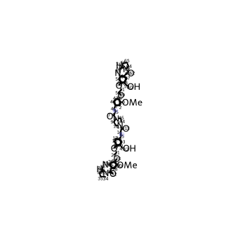 COc1cc(/C=C/C(=O)N2CCN(C(=O)/C=C/c3ccc(OCCOc4cc5c(cc4OC)C(=O)N4CCC[C@H]4C=N5)c(CO)c3)CC2)ccc1OCCOc1cc2c(cc1CO)C(=O)N1CCC[C@H]1C=N2